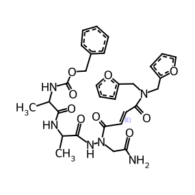 CC(NC(=O)OCc1ccccc1)C(=O)NC(C)C(=O)NN(CC(N)=O)C(=O)/C=C/C(=O)N(Cc1ccco1)Cc1ccco1